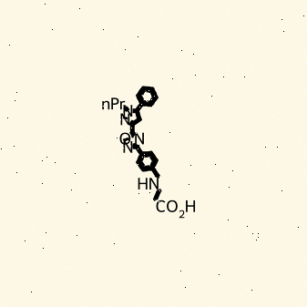 CCCN1N=C(c2nc(-c3ccc(CNCCC(=O)O)cc3)no2)CC1c1ccccc1